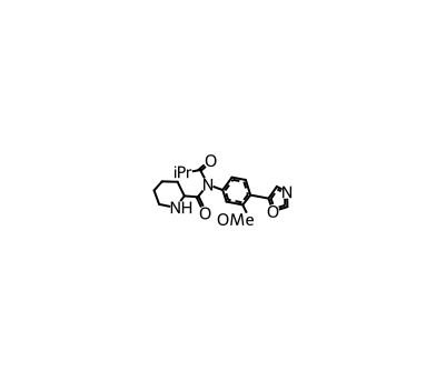 COc1cc(N(C(=O)C(C)C)C(=O)C2CCCCN2)ccc1-c1cnco1